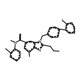 C=C(c1cc(C)c2nc(CCC)n(Cc3ccc(-c4ccccc4I)cc3)c2c1)N(C)c1ccccc1C